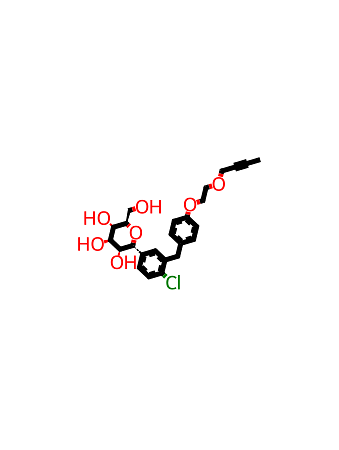 CC#CCOCCOc1ccc(Cc2cc([C@H]3O[C@H](CO)[C@@H](O)[C@H](O)[C@H]3O)ccc2Cl)cc1